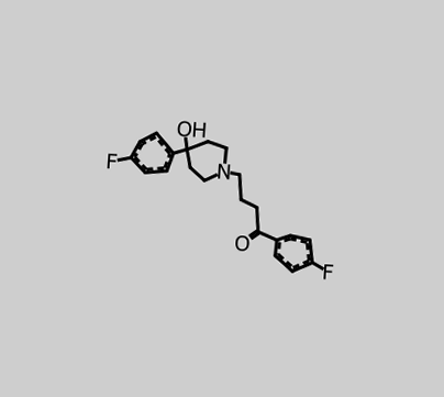 O=C(CCCN1CCC(O)(c2ccc(F)cc2)CC1)c1ccc(F)cc1